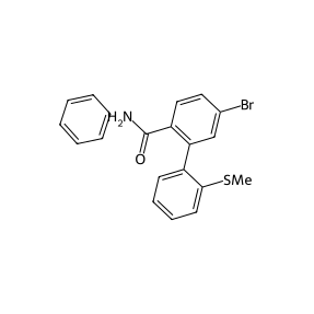 CSc1ccccc1-c1cc(Br)ccc1C(N)=O.c1ccccc1